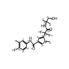 Cc1cc(NC(=O)c2cc(C(F)(F)C(=O)NC(C)(C)CO)n(C)c2)ccc1F